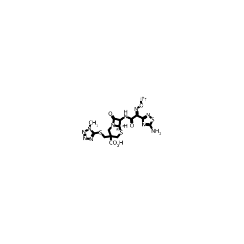 CC(C)ON=C(C(=O)NC1C(=O)N2CC(CSc3nnnn3C)(C(=O)O)CS[C@H]12)c1nsc(N)n1